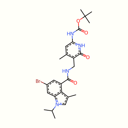 Cc1cc(NC(=O)OC(C)(C)C)[nH]c(=O)c1CNC(=O)c1cc(Br)cc2c1c(C)cn2C(C)C